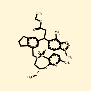 CCOC(=O)CC(c1cc2c(c(CN3C[C@@H](CC)Oc4nc(C)ccc4S3(=O)=O)c1)CCC2)c1ccc2c(nnn2C)c1C